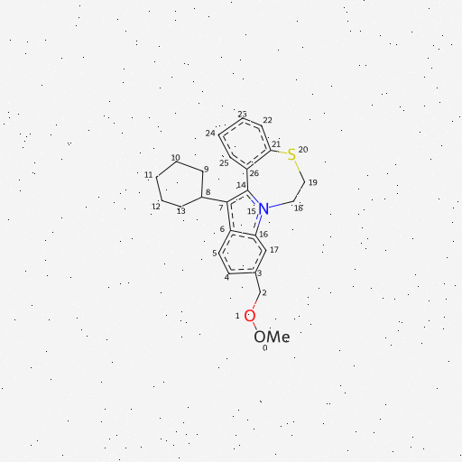 COOCc1ccc2c(C3CCCCC3)c3n(c2c1)CCSc1ccccc1-3